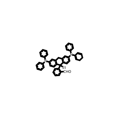 CCC1(c2ccccc2C=O)c2ccc(N(C3=CCCC=C3)c3ccccc3)cc2Cc2cc(N(c3ccccc3)c3ccccc3)ccc21